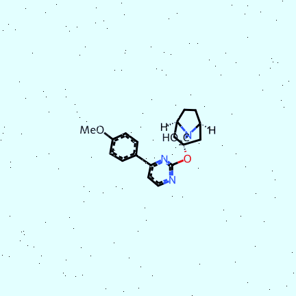 COc1ccc(-c2ccnc(O[C@@H]3C[C@H]4CC[C@@H](C3)N4C(=O)O)n2)cc1